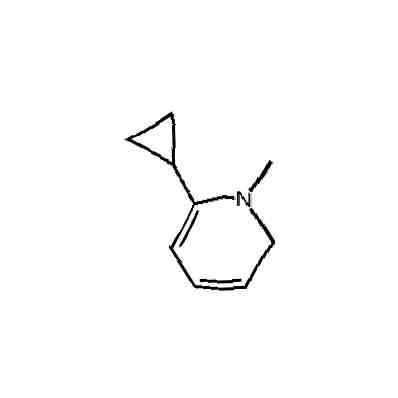 CN1CC=CC=C1C1CC1